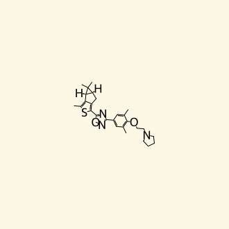 Cc1cc(-c2noc(-c3sc(C)c4c3C[C@@H]3[C@H]4C3(C)C)n2)cc(C)c1OCCN1CCCC1